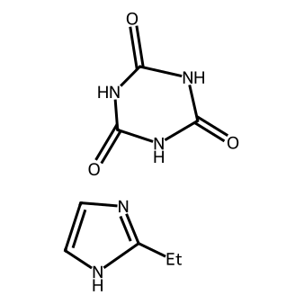 CCc1ncc[nH]1.O=c1[nH]c(=O)[nH]c(=O)[nH]1